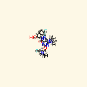 [2H]C1([2H])CC[C@@]2(COc3nc(N4C[C@H]5CC[C@@H](C4)N5)c4cnn(-c5cc(O)cc6ccc(F)c(F)c56)c(=O)c4n3)C[C@@H](F)CN12